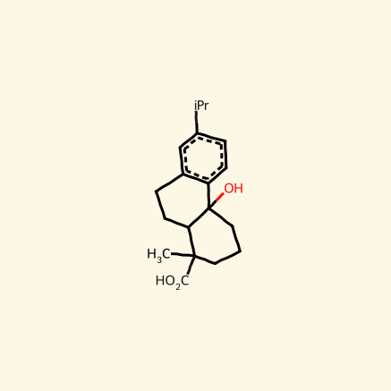 CC(C)c1ccc2c(c1)CCC1C(C)(C(=O)O)CCCC21O